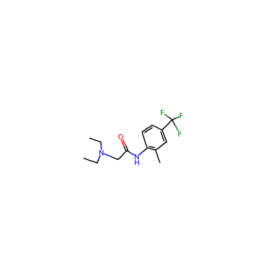 CCN(CC)CC(=O)Nc1ccc(C(F)(F)F)cc1C